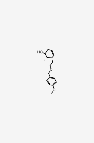 COc1ccc(COCC[C@@H]2C=CCC(O)[C@H]2C)cc1